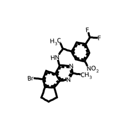 Cc1nc(NC(C)c2cc(C(F)F)cc([N+](=O)[O-])c2)c2cc(Br)c3c(c2n1)CCC3